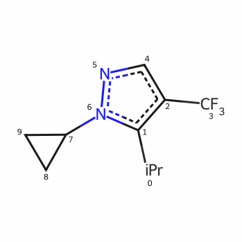 CC(C)c1c(C(F)(F)F)cnn1C1CC1